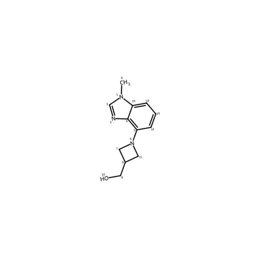 Cn1cnc2c(N3CC(CO)C3)cccc21